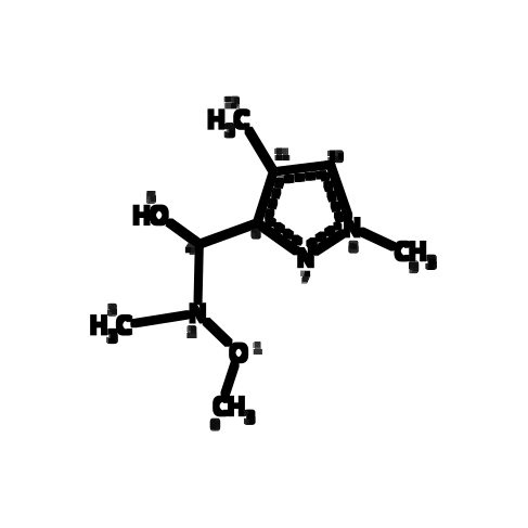 CON(C)C(O)c1nn(C)cc1C